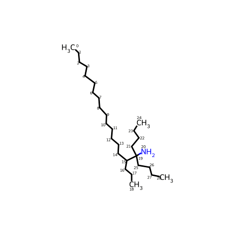 CCCCCCCCCCCCCCCC(CCC)C(N)(CCCC)CCCC